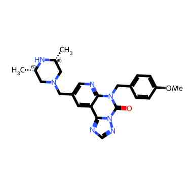 COc1ccc(Cn2c(=O)n3ncnc3c3cc(CN4C[C@@H](C)N[C@@H](C)C4)cnc32)cc1